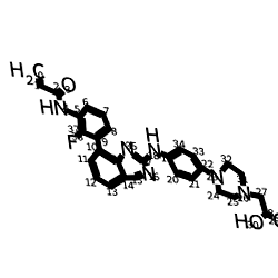 C=CC(=O)Nc1cccc(-c2cccc3cnc(Nc4ccc(N5CCN(CC(C)O)CC5)cc4)nc23)c1F